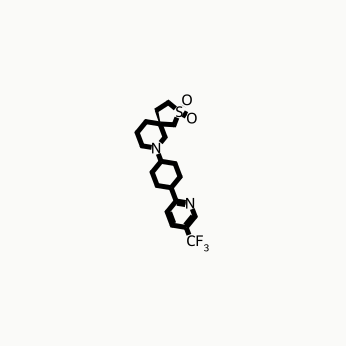 O=S1(=O)CC[C@@]2(CCCN(C3CCC(c4ccc(C(F)(F)F)cn4)CC3)C2)C1